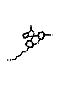 CCCCCOc1ccc2c(c1)Oc1cc(O)ccc1C21OC(=O)c2ccccc21